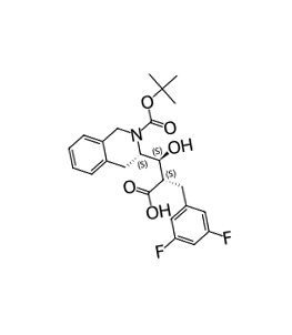 CC(C)(C)OC(=O)N1Cc2ccccc2C[C@H]1[C@@H](O)[C@H](Cc1cc(F)cc(F)c1)C(=O)O